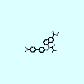 COC(=O)c1ccc2c(N(Cc3ccc(-c4ccc(N(C)C)cc4)cc3)C(=O)C(C)C)cccc2c1